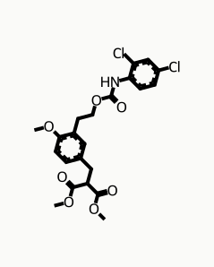 COC(=O)C(Cc1ccc(OC)c(CCOC(=O)Nc2ccc(Cl)cc2Cl)c1)C(=O)OC